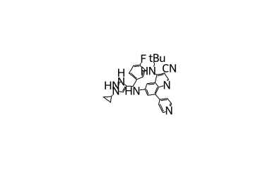 CC(C)(C)CNc1c(C#N)cnc2c(-c3ccncc3)cc(NC(C3=CN(C4CC4)NN3)c3ccc(F)cc3)cc12